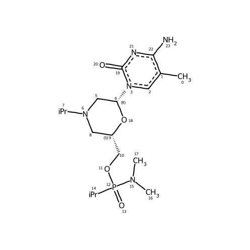 Cc1cn([C@H]2CN(C(C)C)C[C@@H](COP(=O)(C(C)C)N(C)C)O2)c(=O)nc1N